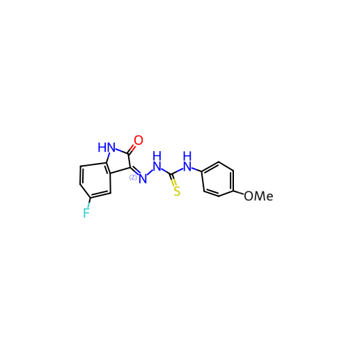 COc1ccc(NC(=S)N/N=C2\C(=O)Nc3ccc(F)cc32)cc1